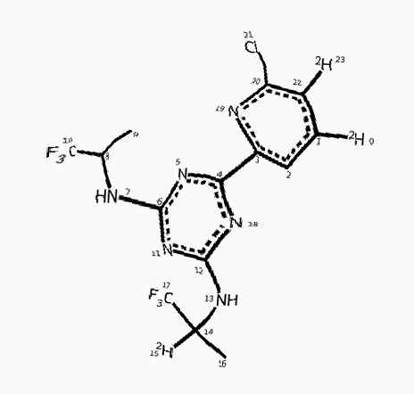 [2H]c1cc(-c2nc(NC(C)C(F)(F)F)nc(NC([2H])(C)C(F)(F)F)n2)nc(Cl)c1[2H]